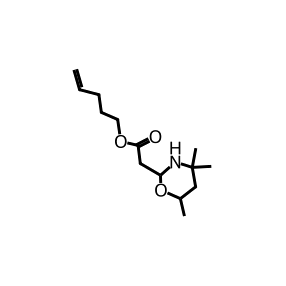 C=CCCCOC(=O)CC1NC(C)(C)CC(C)O1